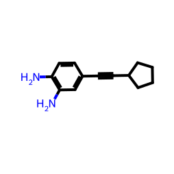 Nc1ccc(C#CC2CCCC2)cc1N